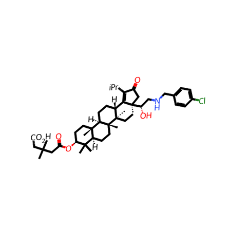 CC(C)C1=C2[C@H]3CC[C@@H]4[C@@]5(C)CC[C@H](OC(=O)CC(C)(C)CC(=O)O)C(C)(C)[C@@H]5CC[C@@]4(C)[C@]3(C)CC[C@@]2([C@@H](O)CNCc2ccc(Cl)cc2)CC1=O